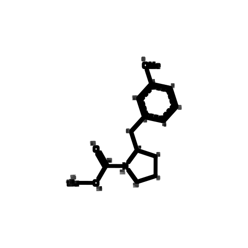 COc1cccc(CC2CCCN2C(=O)OC(C)(C)C)c1